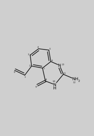 C=Cc1cccc2c1C(=C)NC(N)=N2